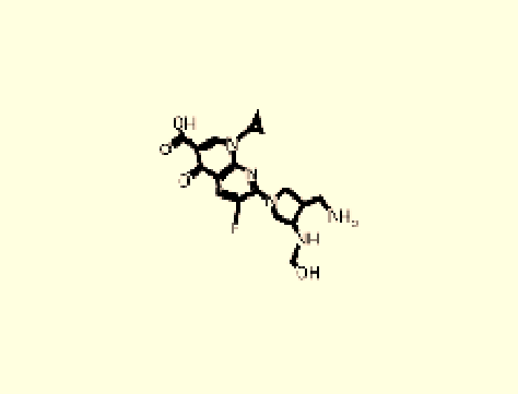 NCC1CN(c2nc3c(cc2F)c(=O)c(C(=O)O)cn3C2CC2)CC1NCO